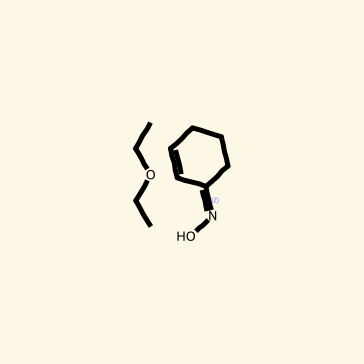 CCOCC.O/N=C1\C=CCCC1